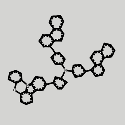 c1cc(-c2ccc3c(c2)c2cccc4c2n3-c2ccccc2O4)cc(N(c2ccc(-c3cccc4c3ccc3ccccc34)cc2)c2ccc(-c3cccc4c3ccc3ccccc34)cc2)c1